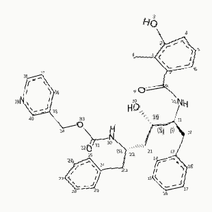 Cc1c(O)cccc1C(=O)N[C@@H](Cc1ccccc1)[C@@H](O)C[C@H](Cc1ccccc1)NC(=O)OCc1cccnc1